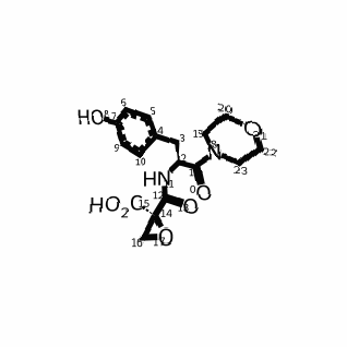 O=C([C@H](Cc1ccc(O)cc1)NC(=O)[C@]1(C(=O)O)CO1)N1CCOCC1